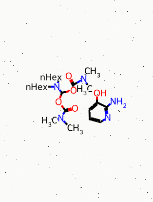 CCCCCCN(CCCCCC)C(OC(=O)N(C)C)OC(=O)N(C)C.Nc1ncccc1O